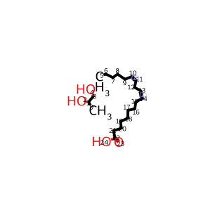 CC(O)CO.CCCCC/C=C\C/C=C\CCCCCCCC(=O)O